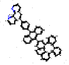 c1cnc2c(c1)cc(-c1ccc(-c3c4ccccc4c(-c4cc5ccc6cccc7c8ccccc8c8ccccc8c(c4)c5c67)c4ccccc34)cc1)c1cccnc12